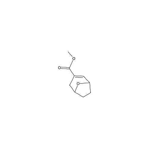 COC(=O)C1=CC2CCC(C1)O2